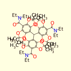 CCN(CC)C(=O)c1c2c(c(C(c3c4c(c(C(=O)N(CC)CC)c5c3OC(C)(C)O5)OC(C)(C)O4)c3c4c(c(C(=O)N(CC)CC)c5c3OC(C)(C)O5)OC(C)(C)O4)c3c1OC(C)(C)O3)OC(C)(C)O2